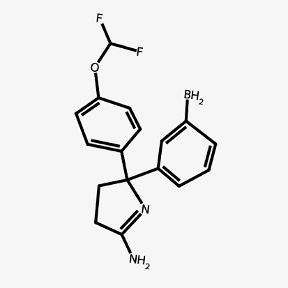 Bc1cccc(C2(c3ccc(OC(F)F)cc3)CCC(N)=N2)c1